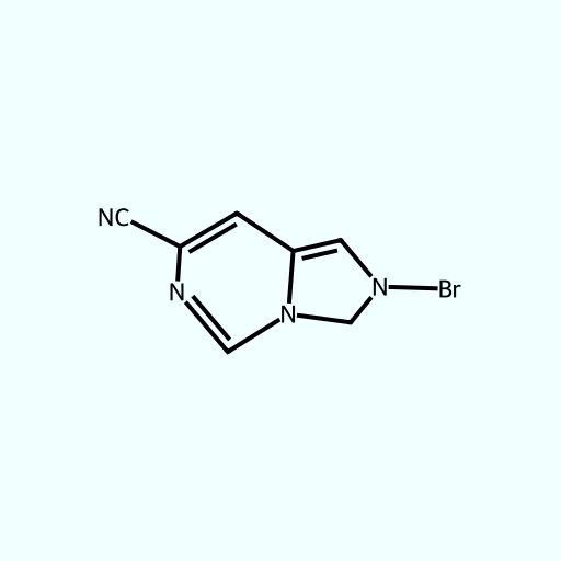 N#CC1=CC2=CN(Br)CN2C=N1